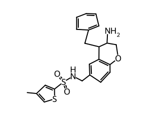 Cc1csc(S(=O)(=O)NCc2ccc3c(c2)C(Cc2ccccc2)C(N)CO3)c1